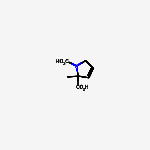 CC1(C(=O)O)C=CCN1C(=O)O